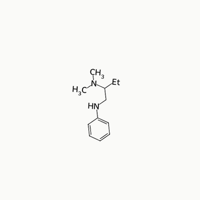 CCC(CNc1ccccc1)N(C)C